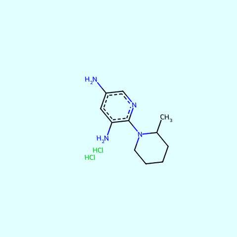 CC1CCCCN1c1ncc(N)cc1N.Cl.Cl